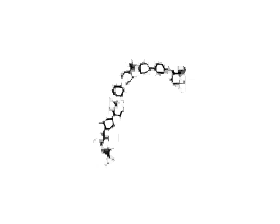 Cc1cc(-c2ccnc(Nc3ccc(N4CCC(C(=O)N5CCC(c6ccc(NC7CCC(=O)NC7=O)cc6)CC5)CC4)cc3)n2)ccc1CNC(=O)N1CC(OC(C)C)C1